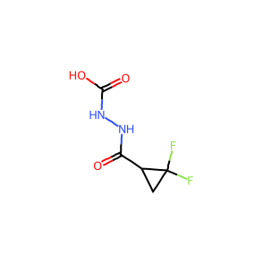 O=C(O)NNC(=O)C1CC1(F)F